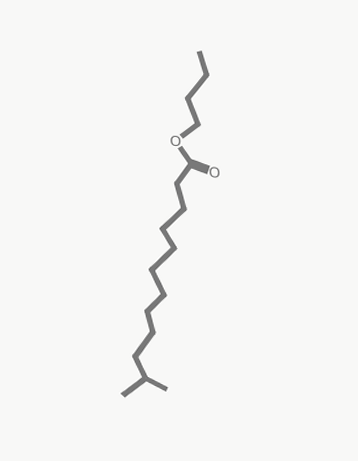 CCCCOC(=O)CCCCCCCCCC(C)C